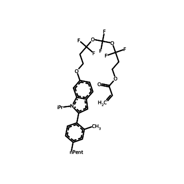 C=CC(=O)OCCC(F)(F)OC(F)(F)OC(F)(F)CCOc1ccc2cc(-c3ccc(CCCCC)cc3C)n(C(C)C)c2c1